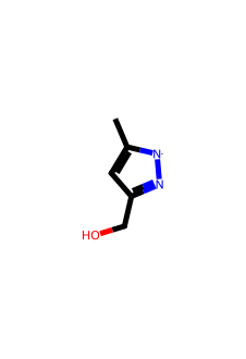 CC1=CC(CO)=N[N]1